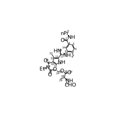 CCCNC(=O)c1ccc(C)c(NC(=N)c2[nH]cc(C(=O)N(CC)C(=O)OCOC(=O)C(C)NC=O)c2C)c1